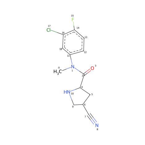 CN(C(=O)C1CC(C#N)CN1)c1ccc(F)c(Cl)c1